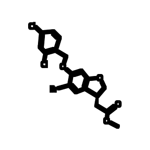 COC(=O)C[C@@H]1COc2cc(OCc3ccc(Cl)cc3Cl)c(Br)cc21